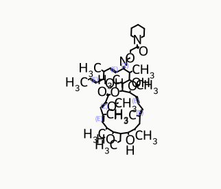 C/C=C/C(O)C(C)/C=C/C(=N/OCC(=O)N1CCCCC1)C(C)C(O)C(C)C1OC(=O)/C(OC)=C/C(C)=C/C(C)C(O)C(CC)C(O)C(C)C/C(C)=C/C=C/C1OC